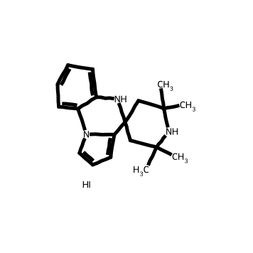 CC1(C)CC2(CC(C)(C)N1)Nc1ccccc1-n1cccc12.I